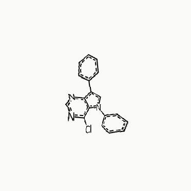 Clc1ncnc2c(-c3ccccc3)cn(-c3ccccc3)c12